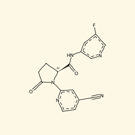 N#Cc1ccnc(N2C(=O)CC[C@H]2C(=O)Nc2cncc(F)c2)c1